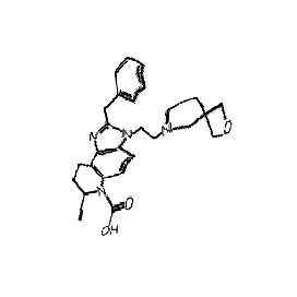 C[C@H]1CCc2c(ccc3c2nc(Cc2ccccc2)n3CCN2CCC3(COC3)C2)N1C(=O)O